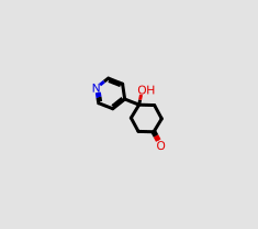 O=C1CCC(O)(c2ccncc2)CC1